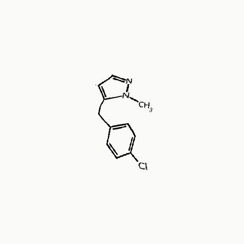 Cn1nc[c]c1Cc1ccc(Cl)cc1